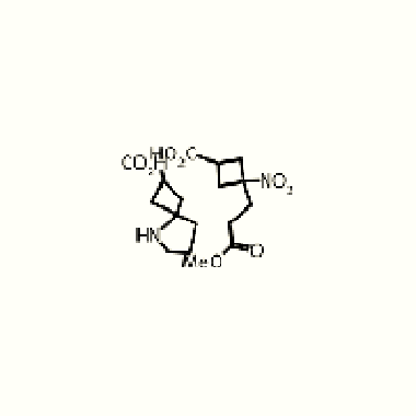 COC(=O)CCC1([N+](=O)[O-])CC(C(=O)O)C1.O=C(O)C1CC2(CCCN2)C1